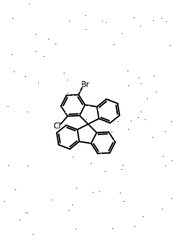 Clc1ccc(Br)c2c1C1(c3ccccc3-c3ccccc31)c1ccccc1-2